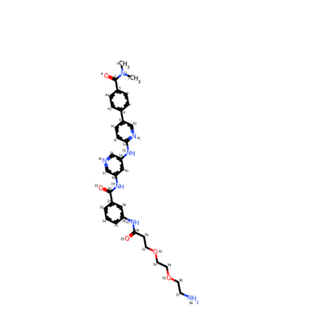 CN(C)C(=O)c1ccc(-c2ccc(Nc3cncc(NC(=O)c4cccc(NC(=O)CCOCCOCCN)c4)c3)nc2)cc1